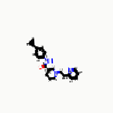 O=C(Nc1ccc(C2CC2)cc1)[C@@H]1CCCN(CCc2ccccn2)C1